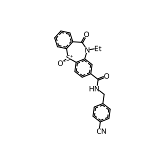 CCN1C(=O)c2ccccc2[S+]([O-])c2ccc(C(=O)NCc3ccc(C#N)cc3)cc21